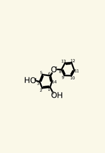 Oc1cc(O)cc(Oc2ccccc2)c1